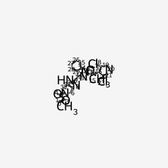 CCS(=O)(=O)N1Cc2nc(-c3nn(OC(C)c4c(Cl)cncc4Cl)c4ccccc34)[nH]c2C1